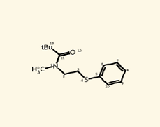 CN(CCSc1ccccc1)C(=O)C(C)(C)C